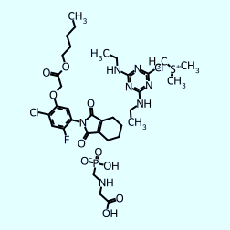 CCCCCOC(=O)COc1cc(N2C(=O)C3=C(CCCC3)C2=O)c(F)cc1Cl.CCNc1nc(Cl)nc(NCC)n1.C[S+](C)C.O=C(O)CNCP(=O)([O-])O